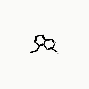 CCc1cccc2cnc(Cl)nc12